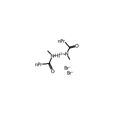 CCCC(=O)[N](C)[Hf+2][N](C)C(=O)CCC.[Br-].[Br-]